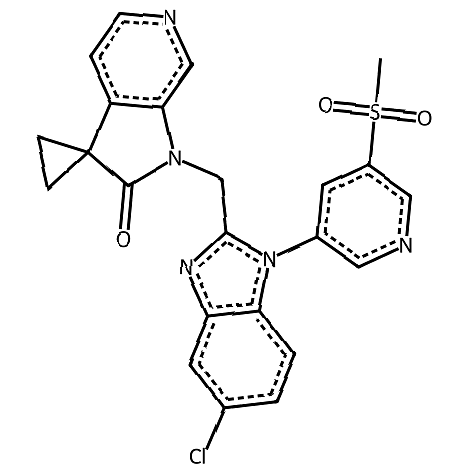 CS(=O)(=O)c1cncc(-n2c(CN3C(=O)C4(CC4)c4ccncc43)nc3cc(Cl)ccc32)c1